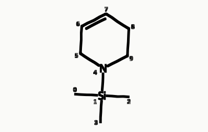 C[Si](C)(C)N1CC=CCC1